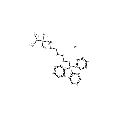 CC(C)C(C)(C)[SiH2]OCCCCC[P+](c1ccccc1)(c1ccccc1)c1ccccc1.[Br-]